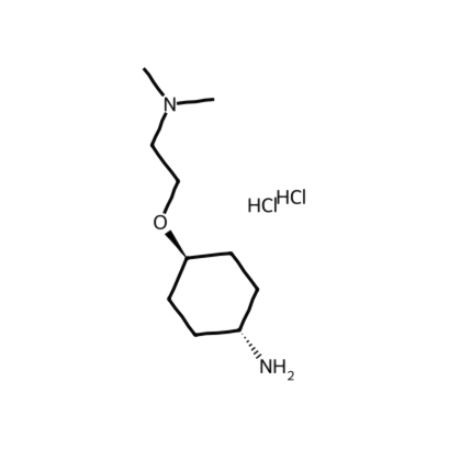 CN(C)CCO[C@H]1CC[C@H](N)CC1.Cl.Cl